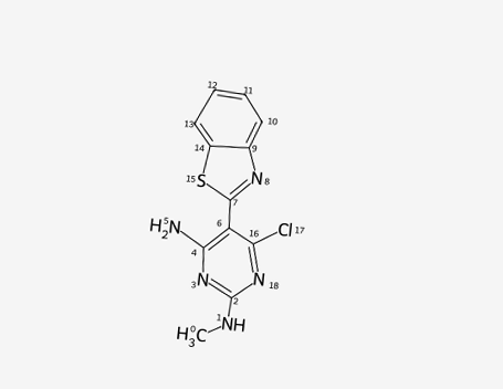 CNc1nc(N)c(-c2nc3ccccc3s2)c(Cl)n1